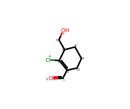 O=CC1=C(Cl)C(CO)CCC1